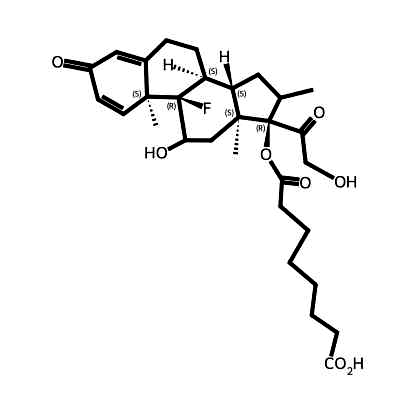 CC1C[C@H]2[C@@H]3CCC4=CC(=O)C=C[C@]4(C)[C@@]3(F)C(O)C[C@]2(C)[C@@]1(OC(=O)CCCCCCC(=O)O)C(=O)CO